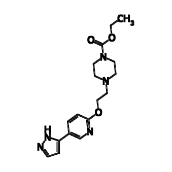 CCOC(=O)N1CCN(CCOc2ccc(-c3ccn[nH]3)cn2)CC1